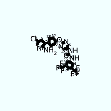 Nc1ncc(Cl)cc1-c1ccc(Oc2ncc(NC(=O)Nc3cc(C(F)(F)F)cc(C(F)(F)F)c3)cn2)cc1